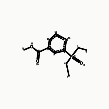 CCP(=O)(CC)c1cc(C(=O)OC)ccn1